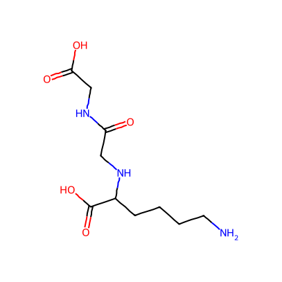 NCCCCC(NCC(=O)NCC(=O)O)C(=O)O